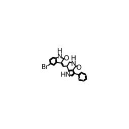 O=C1Nc2ccc(Br)cc2C1=CC1CNC(=O)c2c(-c3ccccc3)c[nH]c21